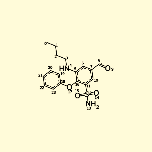 CCCCNc1cc([C]=O)cc(S(N)(=O)=O)c1Oc1ccccc1